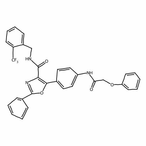 O=C(COc1ccccc1)Nc1ccc(-c2oc(-c3ccccc3)nc2C(=O)NCc2ccccc2C(F)(F)F)cc1